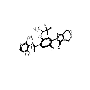 Cc1ccnc(C)c1NC(=O)c1cc(F)c(-n2nc3n(c2=O)CCOC3)cc1O[C@@H](C)C(F)(F)F